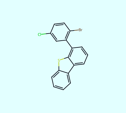 Clc1ccc(Br)c(-c2cccc3c2sc2ccccc23)c1